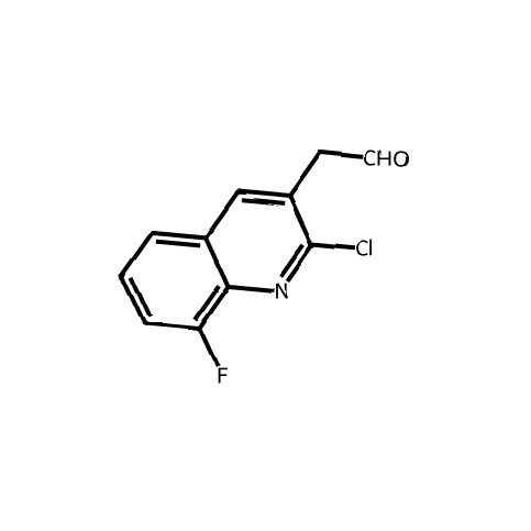 O=CCc1cc2cccc(F)c2nc1Cl